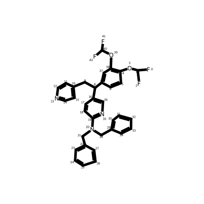 FC(F)Oc1ccc(C(Cc2ccncc2)c2ccc(N(Cc3ccccc3)Cc3ccccc3)nc2)cc1OC(F)F